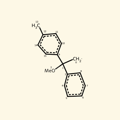 [CH2]C(OC)(c1ccccc1)c1ccc(C)cc1